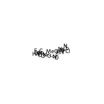 COc1cc2nc(C)nc(N[C@H](C)c3cc(-c4c(Cl)cccc4CN(C)C)cs3)c2cc1C1CCC(C(=O)N2CCC(CCOCC3CCN(C(=O)c4ccc(C(F)(F)F)c(N5CCC(=O)NC5=O)c4)CC3)CC2)CC1